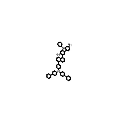 [2H]c1ccc2c3cc(-c4cccc5c(-c6ccc(N(c7ccc(-c8ccccc8)cc7)c7ccc(-c8ccccc8)cc7)cc6)cccc45)c([2H])cc3n(-c3ccccc3)c2c1